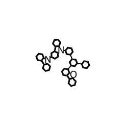 c1ccc(-c2cc(-c3cccc(-n4c5ccccc5c5cc(-n6c7ccccc7c7ccccc76)ccc54)c3)cc(-c3cccc4c3oc3ccccc34)c2)cc1